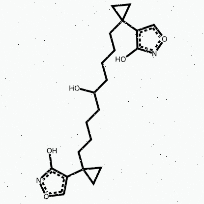 Oc1nocc1C1(CCCCC(O)CCCCC2(c3conc3O)CC2)CC1